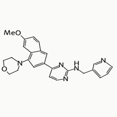 COc1ccc2cc(-c3ccnc(NCc4cccnc4)n3)cc(N3CCOCC3)c2c1